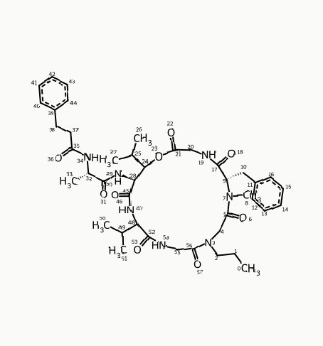 CCCN1CC(=O)N(C)[C@@H](Cc2ccccc2)C(=O)NCC(=O)OC(C(C)C)[C@H](NC(=O)[C@H](C)NC(=O)CCc2ccccc2)C(=O)NC(C(C)C)C(=O)NCC1=O